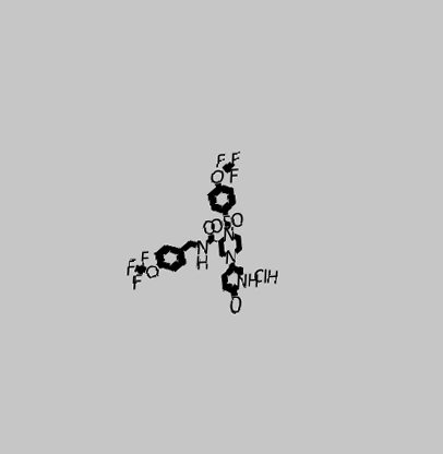 Cl.O=C(NCc1ccc(OC(F)(F)F)cc1)[C@H]1CN(c2ccc(=O)[nH]c2)CCN1S(=O)(=O)c1ccc(OC(F)(F)F)cc1